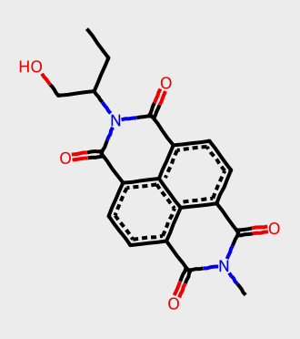 CCC(CO)N1C(=O)c2ccc3c4c(ccc(c24)C1=O)C(=O)N(C)C3=O